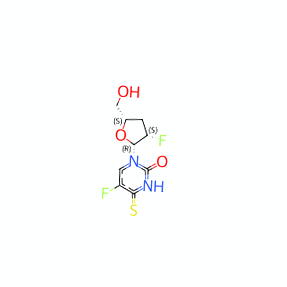 O=c1[nH]c(=S)c(F)cn1[C@@H]1O[C@H](CO)C[C@@H]1F